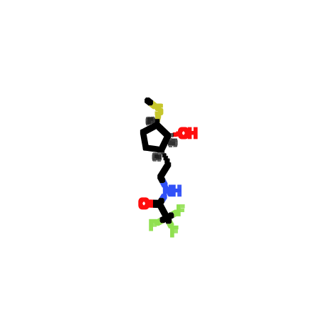 CS[C@@H]1CC[C@@H](CCNC(=O)C(F)(F)F)[C@H]1O